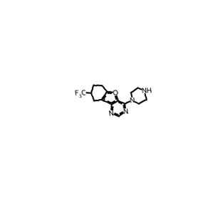 FC(F)(F)C1CCc2oc3c(N4CCNCC4)ncnc3c2C1